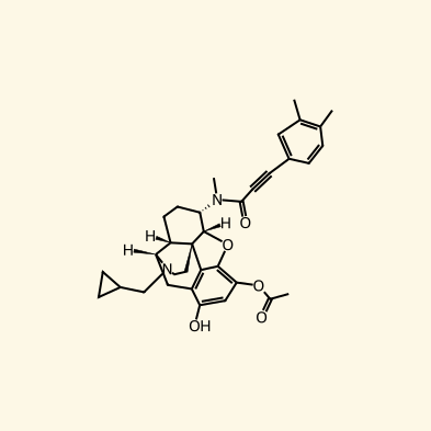 CC(=O)Oc1cc(O)c2c3c1O[C@H]1[C@@H](N(C)C(=O)C#Cc4ccc(C)c(C)c4)CC[C@H]4[C@@H](C2)N(CC2CC2)CC[C@@]341